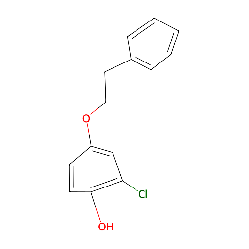 Oc1ccc(OCCc2ccccc2)cc1Cl